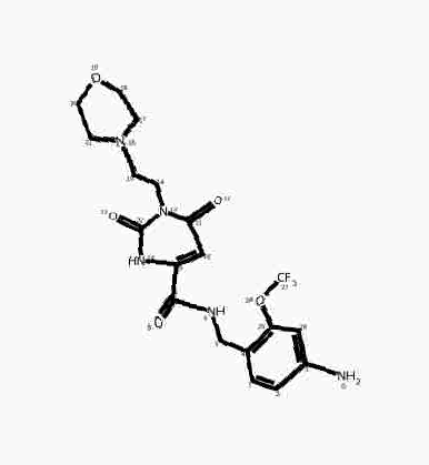 Nc1ccc(CNC(=O)c2cc(=O)n(CCN3CCOCC3)c(=O)[nH]2)c(OC(F)(F)F)c1